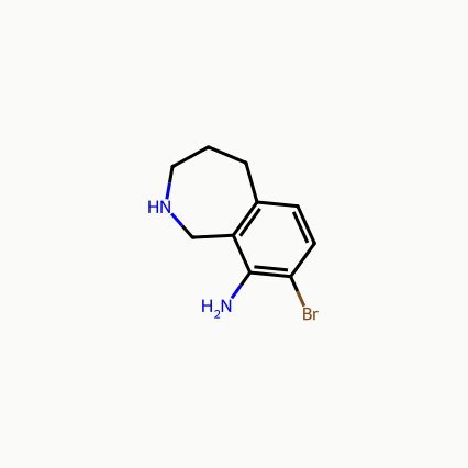 Nc1c(Br)ccc2c1CNCCC2